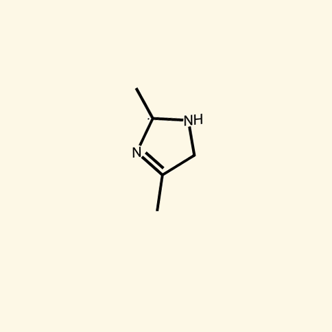 C[C]1N=C(C)CN1